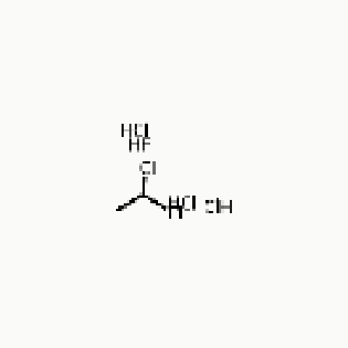 CC(Cl)Cl.Cl.Cl.Cl.F